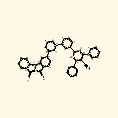 N#Cc1c(-c2ccccc2)nc(-c2cccc(-c3cccc(-c4ccc5c(=O)n6c(=O)c7ccccc7n6c5c4)c3)c2)nc1-c1ccccc1